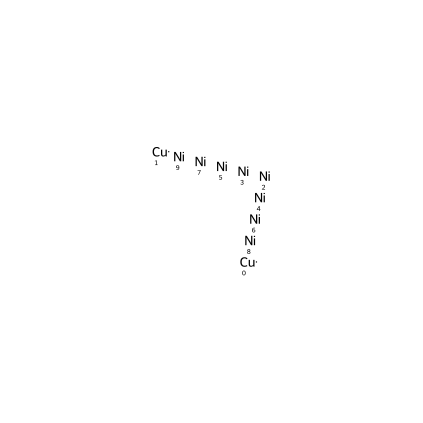 [Cu].[Cu].[Ni].[Ni].[Ni].[Ni].[Ni].[Ni].[Ni].[Ni]